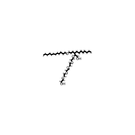 CCCCCCCCCCCCOCCCC(CCCCCCCC)C(CO)OCCOCCOCCOCCOCCO